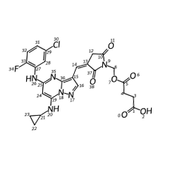 O=C(O)CCC(=O)OCN1C(=O)CC(=Cc2cnn3c(NC4CC4)cc(Nc4cc(Cl)ccc4F)nc23)C1=O